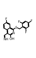 N=Cc1c(O)nc(SCc2c(F)cc(F)cc2F)c2cc(F)ccc12